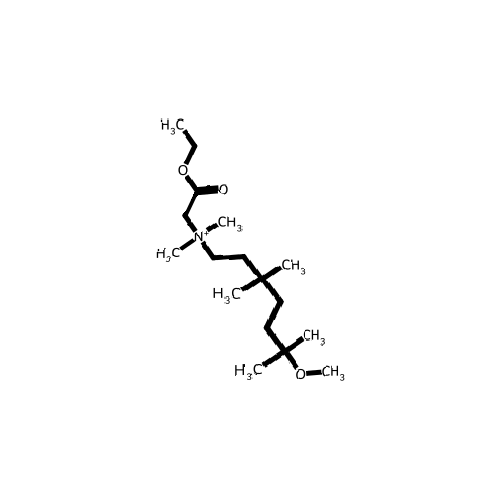 CCOC(=O)C[N+](C)(C)CCC(C)(C)CCC(C)(C)OC